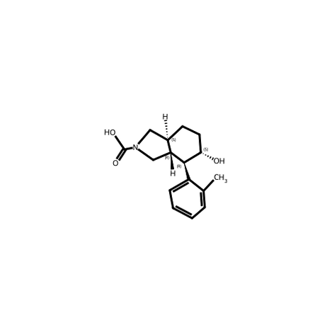 Cc1ccccc1[C@H]1[C@@H]2CN(C(=O)O)C[C@H]2CC[C@@H]1O